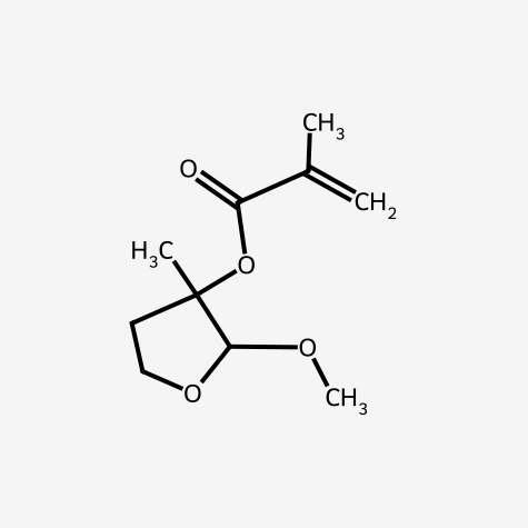 C=C(C)C(=O)OC1(C)CCOC1OC